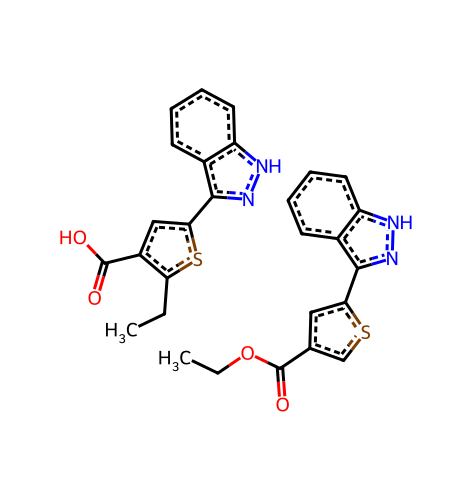 CCOC(=O)c1csc(-c2n[nH]c3ccccc23)c1.CCc1sc(-c2n[nH]c3ccccc23)cc1C(=O)O